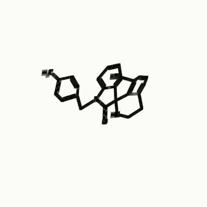 Cc1ccc(CN2C(=O)C3(NCCc4cccc(O)c43)c3ccccc32)cc1